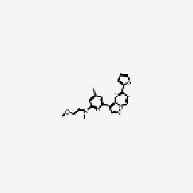 COCCNc1cc(C)cc(-c2cnn3ccc(-c4cccs4)nc23)n1